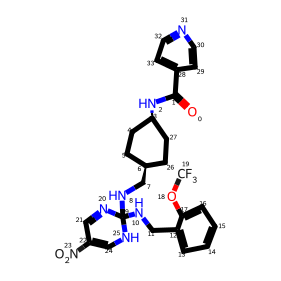 O=C(N[C@H]1CC[C@H](CNC2(NCc3ccccc3OC(F)(F)F)N=CC([N+](=O)[O-])=CN2)CC1)c1ccncc1